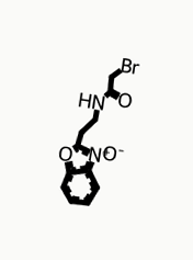 O=C(CBr)NCCc1oc2ccccc2[n+]1[O-]